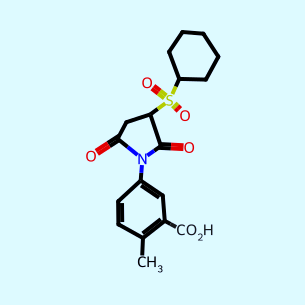 Cc1ccc(N2C(=O)CC(S(=O)(=O)C3CCCCC3)C2=O)cc1C(=O)O